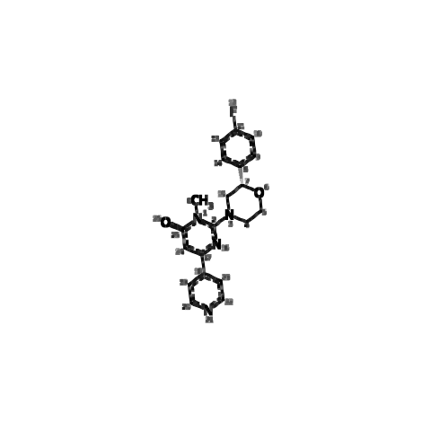 Cn1c(N2CCO[C@@H](c3ccc(F)cc3)C2)nc(-c2ccncc2)cc1=O